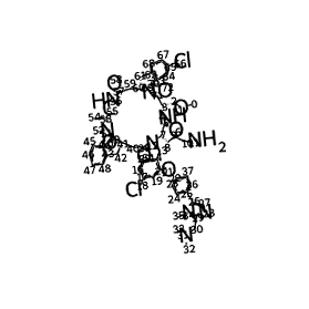 COC[C@@H]1NC(=O)[C@H](CCCN)N(Cc2ccc(Cl)cc2Oc2ccc(-c3cnc(CN(C)C)n3C)cc2)C(=O)C[C@@H](Cc2ccccc2)C(=O)N(C)[C@@H](C)CNC(=O)C[C@H](Cc2ccc(Cl)cc2)N(C)C1=O